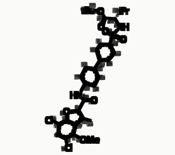 COc1c(Cl)cc(Cl)c2oc(C(=O)Nc3ccc(-c4ccc(S(=O)(=O)N[C@H](C(=O)OC(C)(C)C)C(C)C)cc4)cc3)c(C)c12